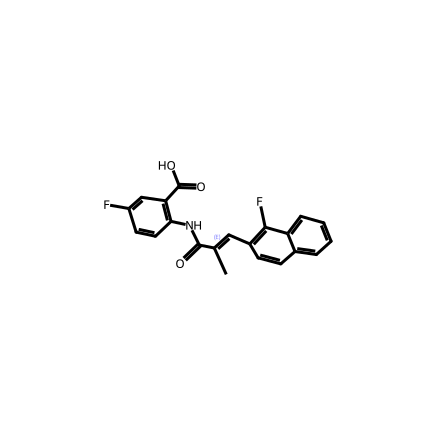 C/C(=C\c1ccc2ccccc2c1F)C(=O)Nc1ccc(F)cc1C(=O)O